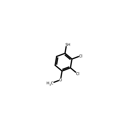 COc1ccc(S)c(Cl)c1Cl